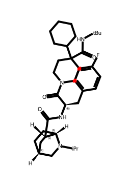 CC(C)N1C[C@@H]2CC[C@H]1[C@@H](C(=O)N[C@H](Cc1ccc(F)cc1)C(=O)N1CCC(C(=O)NC(C)(C)C)(C3CCCCC3)CC1)C2